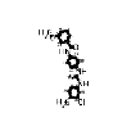 COc1cccc(C(=O)Nc2ccc(NC(=S)Nc3ccc(C)c(Cl)c3)cc2)c1